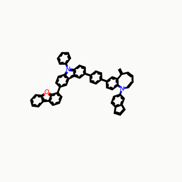 C=C1/C=C\C=C/N(c2ccc3c(c2)C=C=C3)c2ccc(-c3ccc(-c4ccc5c(c4)c4cc(-c6cccc7c6oc6ccccc67)ccc4n5-c4ccccc4)cc3)cc21